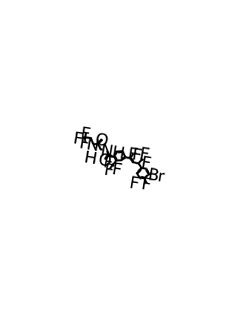 O=C(CNC(=O)c1ccc(C(F)=CC(c2cc(F)c(F)c(Br)c2)C(F)(F)F)cc1C(F)(F)F)NCC(F)(F)F